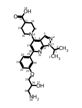 CC(C)n1ncc2c(N3CCC(C(=O)O)CC3)cc(-c3cccc(OCC(O)CN)c3)nc21